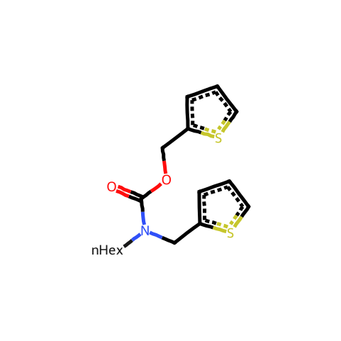 CCCCCCN(Cc1cccs1)C(=O)OCc1cccs1